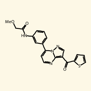 COCC(=O)Nc1cccc(-c2ccnc3c(C(=O)c4cccs4)cnn23)c1